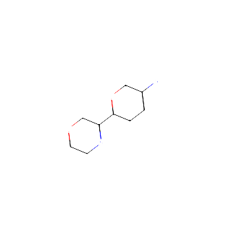 NC1CCC(C2COCCN2)OC1